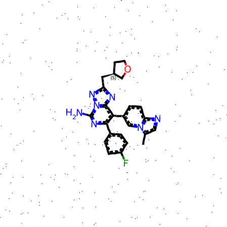 Cc1cnc2ccc(-c3c(-c4ccc(F)cc4)nc(N)n4nc(C[C@H]5CCOC5)nc34)cn12